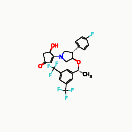 C[C@@H](O[C@H]1CN(C2=CC(=O)C[C@H]2O)C[C@@H]1c1ccc(F)cc1)c1cc(C(F)(F)F)cc(C(F)(F)F)c1